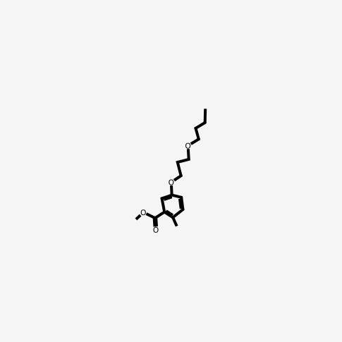 CCCCOCCCOc1ccc(C)c(C(=O)OC)c1